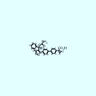 CCOC(=O)C1(c2ccc(-c3ccc(-c4onc(C)c4[C@@](CC)(OC(N)=O)c4ccccc4)cc3)cc2)CC1